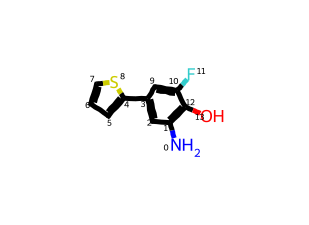 Nc1cc(-c2cccs2)cc(F)c1O